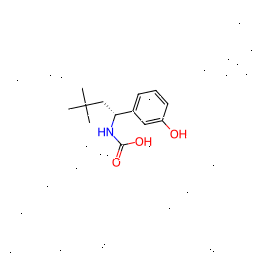 CC(C)(C)C[C@@H](NC(=O)O)c1cccc(O)c1